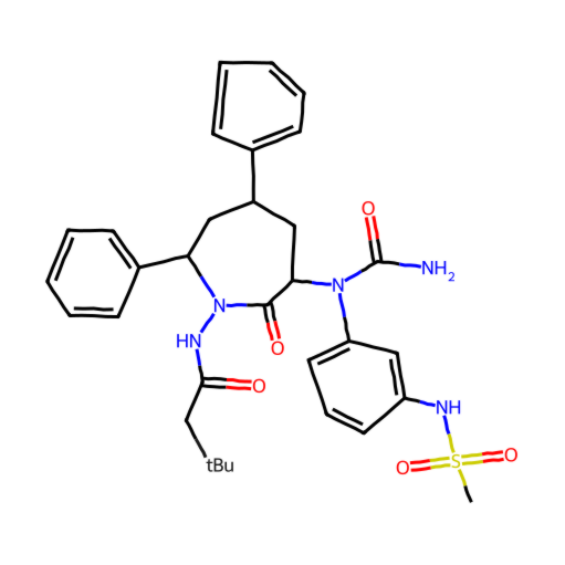 CC(C)(C)CC(=O)NN1C(=O)C(N(C(N)=O)c2cccc(NS(C)(=O)=O)c2)CC(c2ccccc2)CC1c1ccccc1